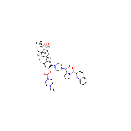 CN1CCN(C(=O)Oc2cc3c(cc2N2CCN(C(=O)[C@@H]4CCCN4C(=O)c4ccc5ccccc5n4)CC2)[C@H]2CC[C@@]4(C)[C@@H](CC[C@]4(C)O)[C@@H]2CC3)CC1